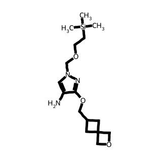 C[Si](C)(C)CCOCn1cc(N)c(OCC2CC3(COC3)C2)n1